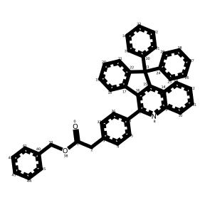 O=C(Cc1ccc(-c2nc3ccccc3c3c2-c2ccccc2C3(c2ccccc2)c2ccccc2)cc1)OCc1ccccc1